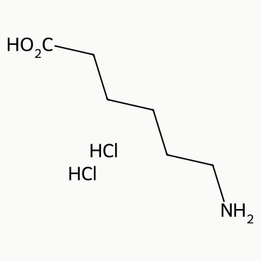 Cl.Cl.NCCCCCC(=O)O